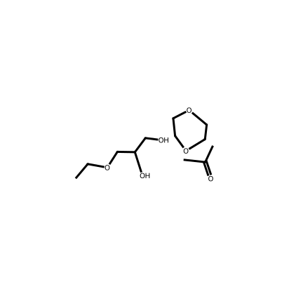 C1COCCO1.CC(C)=O.CCOCC(O)CO